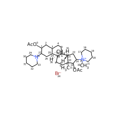 CC(=O)OC1CC2CC[C@@H]3[C@@H](CC[C@]4(C)C(OC(C)=O)C([N+]5(C)CCCCC5)C[C@@H]34)[C@@]2(C)CC1N1CCCCC1.[Br-]